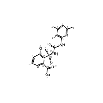 Cc1cc(C)nc(NC(=O)NS(=O)(=O)c2c(Cl)cccc2C(=O)O)n1